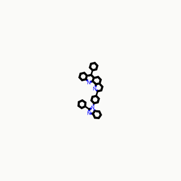 c1ccc(-c2c3ccccc3nc3c2ccc2ccc(-c4ccc(-n5c(-c6ccccc6)nc6ccccc65)cc4)nc23)cc1